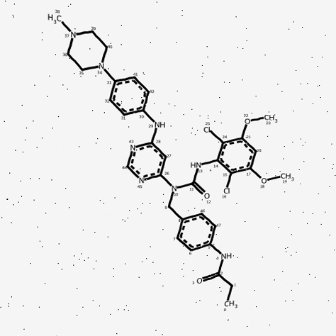 CCC(=O)Nc1ccc(CN(C(=O)Nc2c(Cl)c(OC)cc(OC)c2Cl)c2cc(Nc3ccc(N4CCN(C)CC4)cc3)ncn2)cc1